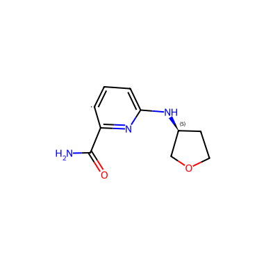 NC(=O)c1[c]ccc(N[C@H]2CCOC2)n1